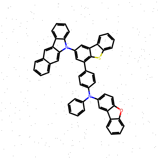 c1ccc(N(c2ccc(-c3cc(-n4c5ccccc5c5cc6ccccc6cc54)cc4c3sc3ccccc34)cc2)c2ccc3oc4ccccc4c3c2)cc1